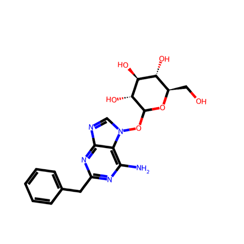 Nc1nc(Cc2ccccc2)nc2ncn(OC3O[C@H](CO)[C@@H](O)[C@H](O)[C@H]3O)c12